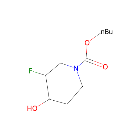 CCCCOC(=O)N1CCC(O)C(F)C1